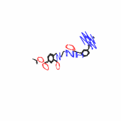 CC(C)OC(=O)c1ccc2c(c1)C(=O)N(CCNC(=O)c1cccc(-c3nnn(C)n3)c1)C2